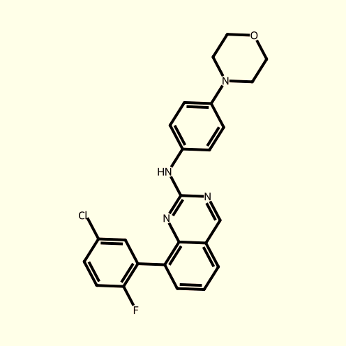 Fc1ccc(Cl)cc1-c1cccc2cnc(Nc3ccc(N4CCOCC4)cc3)nc12